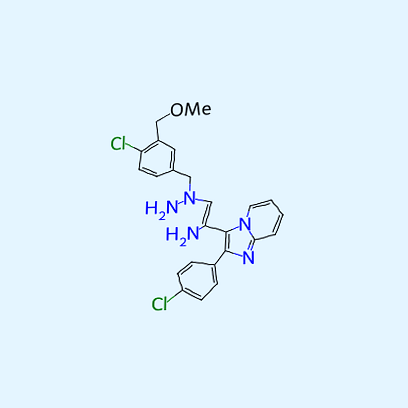 COCc1cc(CN(N)/C=C(\N)c2c(-c3ccc(Cl)cc3)nc3ccccn23)ccc1Cl